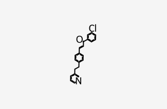 O=C(C=Cc1ccc(CCc2cccnc2)cc1)c1cccc(Cl)c1